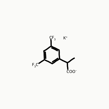 CC(C(=O)[O-])c1cc(C(F)(F)F)cc(C(F)(F)F)c1.[K+]